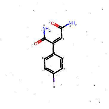 NC(=O)/C=C(\C(N)=O)c1ccc(I)cc1